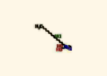 CCCCCCCCCCCCCCCCCCN(CC(O)O)N1C=NCC1.Cl